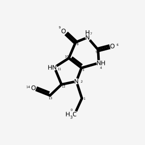 CCN1c2[nH]c(=O)[nH]c(=O)c2NC1C=O